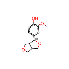 COc1cc([C@H]2OCC3COCC32)ccc1O